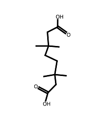 CC(C)(CCC(C)(C)CC(=O)O)CC(=O)O